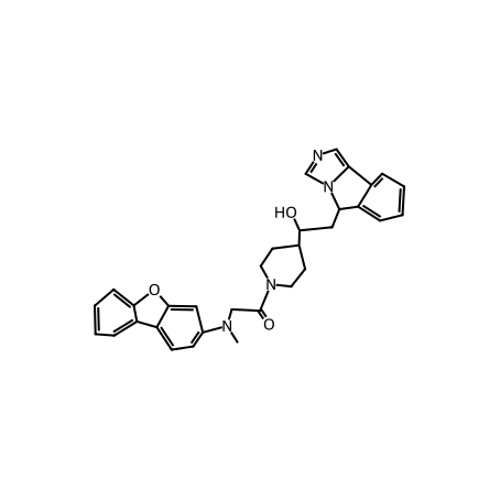 CN(CC(=O)N1CCC(C(O)CC2c3ccccc3-c3cncn32)CC1)c1ccc2c(c1)oc1ccccc12